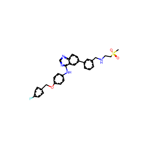 CS(=O)(=O)CCNCc1cccc(-c2ccc3ncnc(Nc4ccc(OCc5ccc(F)cc5)cc4)c3c2)c1